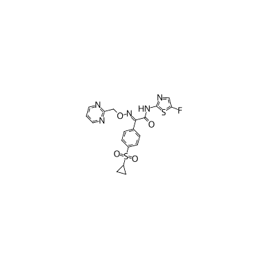 O=C(Nc1ncc(F)s1)/C(=N/OCc1ncccn1)c1ccc(S(=O)(=O)C2CC2)cc1